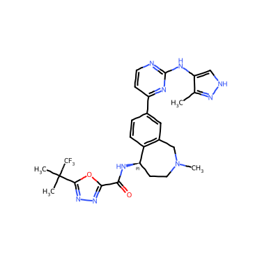 Cc1n[nH]cc1Nc1nccc(-c2ccc3c(c2)CN(C)CC[C@H]3NC(=O)c2nnc(C(C)(C)C(F)(F)F)o2)n1